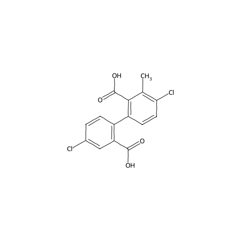 Cc1c(Cl)ccc(-c2ccc(Cl)cc2C(=O)O)c1C(=O)O